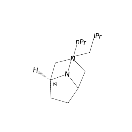 CCCN1CC2CC[C@@H](C1)N2CCC(C)C